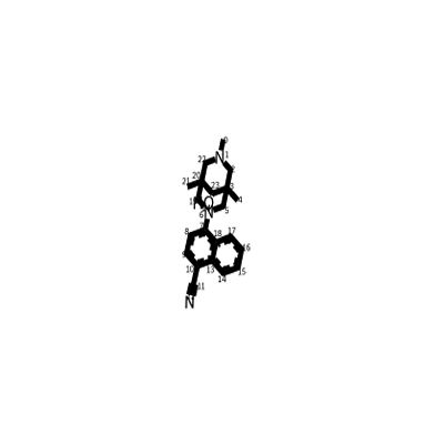 CN1CC2(C)CN(c3ccc(C#N)c4ccccc34)CC(C)(C1)C2O